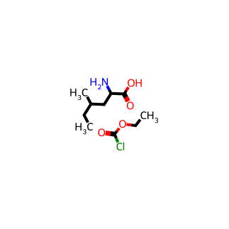 CCC(C)CC(N)C(=O)O.CCOC(=O)Cl